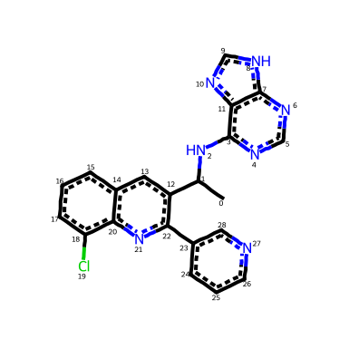 CC(Nc1ncnc2[nH]cnc12)c1cc2cccc(Cl)c2nc1-c1cccnc1